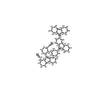 N#Cc1cccc(-n2c3ccccc3c3cccc(C#N)c32)c1-c1cccc(-n2c3ccccc3c3cc(-n4c5ccccc5c5ccccc54)ccc32)c1